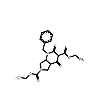 CCOC(=O)C1C(=O)C2CN(C(=O)OCC)CC2N(Cc2ccccc2)C1=O